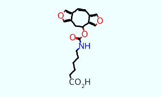 O=C(O)CCCCCNC(=O)OC1Cc2cocc2/C=C\c2cocc21